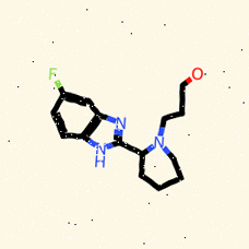 [O]CCCN1CCCCC1c1nc2cc(F)ccc2[nH]1